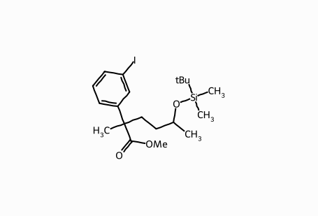 COC(=O)C(C)(CCC(C)O[Si](C)(C)C(C)(C)C)c1cccc(I)c1